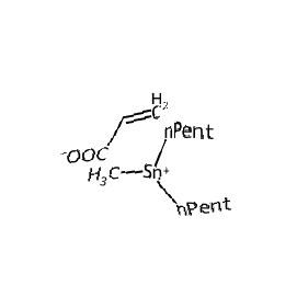 C=CC(=O)[O-].CCCC[CH2][Sn+]([CH3])[CH2]CCCC